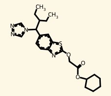 CCC(CC)C(c1ccc2nc(OCC(=O)OC3CCCCC3)sc2c1)n1cnnc1